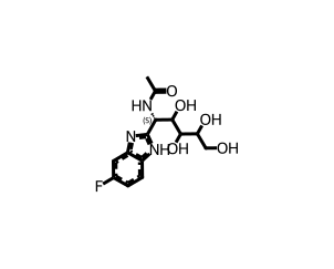 CC(=O)N[C@@H](c1nc2cc(F)ccc2[nH]1)C(O)C(O)C(O)CO